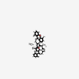 CN(c1nnc2n1-c1ccc(Br)c(Cl)c1C(c1c(F)cccc1F)=NC2)c1nnc2n1-c1ccc(I)c(Cl)c1C(c1c(F)cccc1F)=NC2.Cl